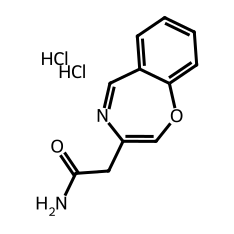 Cl.Cl.NC(=O)CC1=COc2ccccc2C=N1